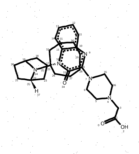 O=C(O)CN1CCN(c2nc3ccccc3n([C@H]3CC4CC[C@@H](C3)N4C3CCCCCCC3)c2=O)CC1